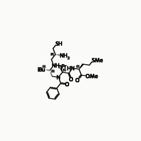 CCC[C@@H](C(=O)N[C@@H](CCSC)C(=O)OC)N(C[C@@H](NC[C@@H](N)CS)[C@@H](C)CC)C(=O)c1ccccc1